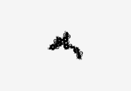 CCS(=O)(=O)c1ccc(Oc2cccc(OCCN3CCN(C(=O)OC(C)(C)C)CC3)c2F)c(-c2cn(C)c(=O)c3c2ccn3S(=O)(=O)c2ccc(C)cc2)c1